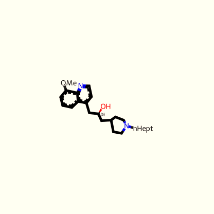 CCCCCCCN1CCC(C[C@H](O)Cc2ccnc3c(OC)cccc23)CC1